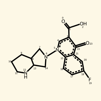 O=C(O)c1cn(N2CC3CCCNC3C2)c2ccc(F)cc2c1=O